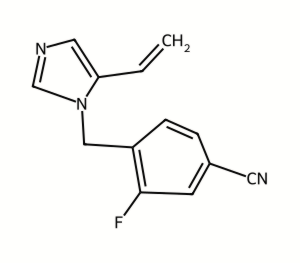 C=Cc1cncn1Cc1ccc(C#N)cc1F